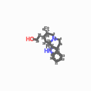 CC[C@H]1CN2CCc3c([nH]c4ccccc34)[C@@H]2C[C@@H]1CCO